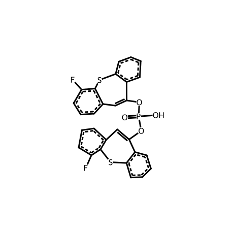 O=P(O)(OC1=Cc2cccc(F)c2Sc2ccccc21)OC1=Cc2cccc(F)c2Sc2ccccc21